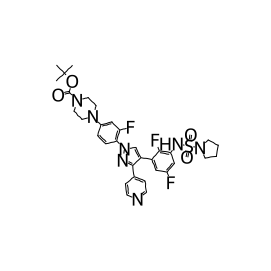 CC(C)(C)OC(=O)N1CCN(c2ccc(-n3cc(-c4cc(F)cc(NS(=O)(=O)N5CCCC5)c4F)c(-c4ccncc4)n3)c(F)c2)CC1